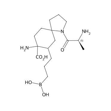 C[C@H](N)C(=O)N1CCCC12CCC(N)(C(=O)O)C(CCCB(O)O)C2